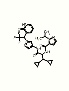 CC(C)n1nccc1C(=O)N[C@H](C(=O)Nc1cnn(C(c2ccc[nH]c2=O)C(F)(F)F)c1)C(C1CC1)C1CC1